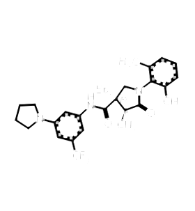 CC[C@]1(C(=O)Nc2cc(N3CCCC3)cc(C(F)(F)F)c2)CN(c2c(C)cccc2C)C(=O)[C@H]1C